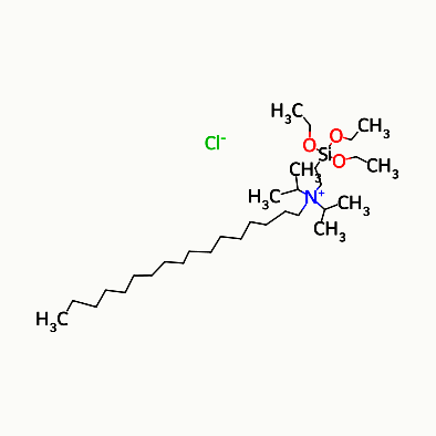 CCCCCCCCCCCCCCCCC[N+](CC[Si](OCC)(OCC)OCC)(C(C)C)C(C)C.[Cl-]